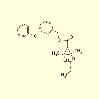 C=CCOC1(C)C(C(=O)OCc2cccc(Oc3ccccc3)c2)C1(C)C